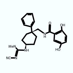 CN/C(=N\C#N)N[C@H]1CC[C@](CNC(=O)c2cc(O)ccc2O)(c2ccccc2)CC1